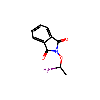 CC(P)ON1C(=O)c2ccccc2C1=O